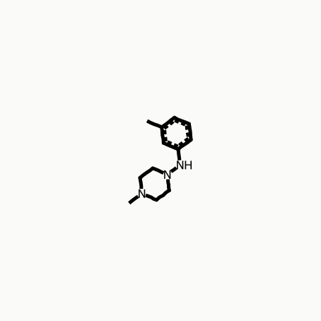 Cc1cccc(NN2CCN(C)CC2)c1